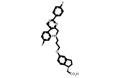 O=C(O)C[C@@H]1CCc2cc(OCCCNCc3nc(-c4ccc(F)cc4)ncc3-c3ccc(F)cc3)ccc21